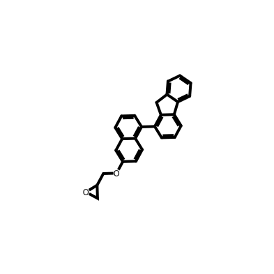 c1ccc2c(c1)Cc1c-2cccc1-c1cccc2cc(OCC3CO3)ccc12